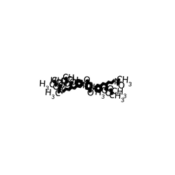 CN(C=O)CCCC(Cc1cccc(N2CC(=O)N(c3cccc(CC(CCCN(C)C(=O)OC(C)(C)C)C(=O)OC(C)(C)C)c3)CC2=O)c1)C(=O)OC(C)(C)C